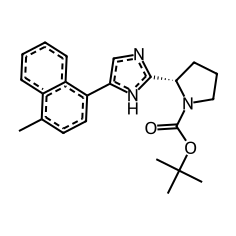 Cc1ccc(-c2cnc([C@@H]3CCCN3C(=O)OC(C)(C)C)[nH]2)c2ccccc12